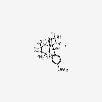 [2H]C([2H])([2H])N(C)CC([2H])(c1ccc(OC)cc1)C1(O)C([2H])([2H])C([2H])([2H])C([2H])([2H])C([2H])([2H])C1([2H])[2H]